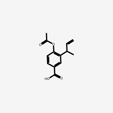 C=CC(C)c1cc(C(=O)O)ccc1OC(C)=O